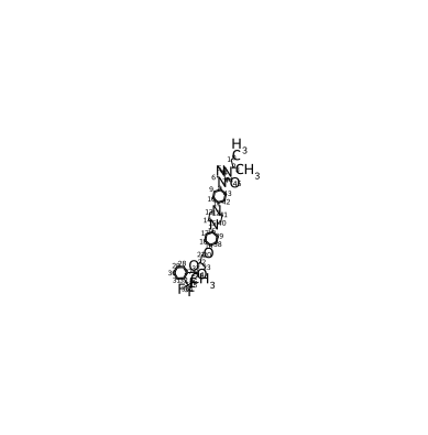 CCC(C)n1ncn(-c2ccc(N3CCN(c4ccc(OCC5COC(C)(c6ccccc6C(F)(F)F)O5)cc4)CC3)cc2)c1=O